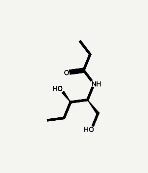 CCC(=O)N[C@@H](CO)[C@H](O)CC